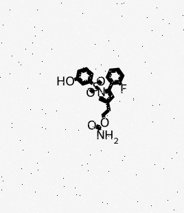 NC(=O)OCCc1cc(-c2ccccc2F)n(S(=O)(=O)c2cccc(O)c2)c1